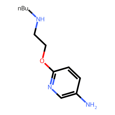 CCCCNCCOc1ccc(N)cn1